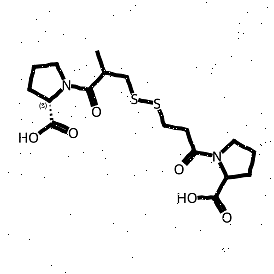 CC(CSSCCC(=O)N1CCCC1C(=O)O)C(=O)N1CCC[C@H]1C(=O)O